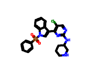 O=S(=O)(c1ccccc1)n1cc(-c2nc(NC3CCCNC3)ncc2Cl)c2ccccc21